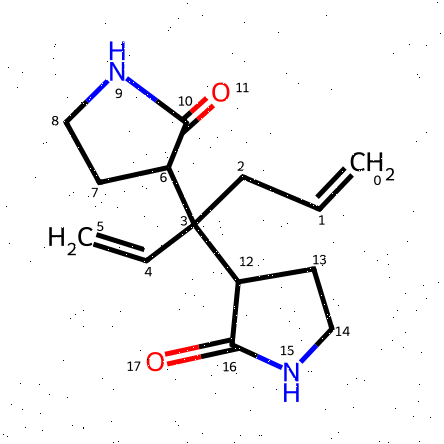 C=CCC(C=C)(C1CCNC1=O)C1CCNC1=O